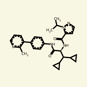 Cc1ncccc1-c1ccc(NC(=O)[C@@H](NC(=O)c2ccnn2C(C)C)C(C2CC2)C2CC2)cc1